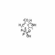 CC(C(=O)O)[C@H]1CCNC1.O=C(O)C(F)(F)F